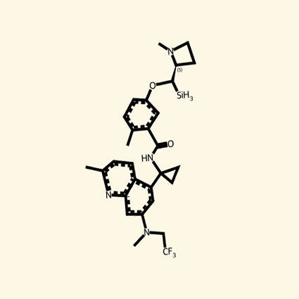 Cc1ccc2c(C3(NC(=O)c4cc(OC([SiH3])[C@@H]5CCN5C)ccc4C)CC3)cc(N(C)CC(F)(F)F)cc2n1